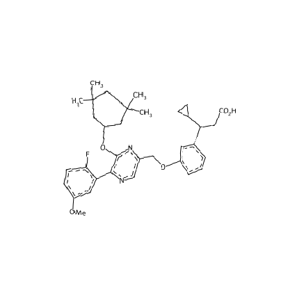 COc1ccc(F)c(-c2ncc(COc3cccc(C(CC(=O)O)C4CC4)c3)nc2OC2CC(C)(C)CC(C)(C)C2)c1